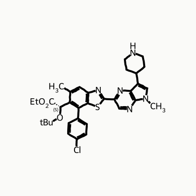 CCOC(=O)[C@@H](OC(C)(C)C)c1c(C)cc2nc(-c3cnc4c(n3)c(C3CCNCC3)cn4C)sc2c1-c1ccc(Cl)cc1